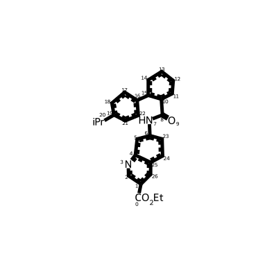 CCOC(=O)c1cnc2cc(NC(=O)c3ccccc3-c3ccc(C(C)C)cc3)ccc2c1